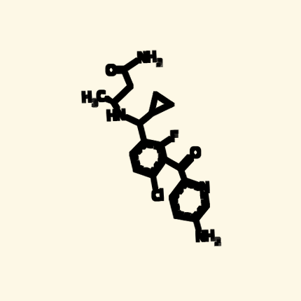 C[C@@H](CC(N)=O)NC(c1ccc(Cl)c(C(=O)c2ccc(N)cn2)c1F)C1CC1